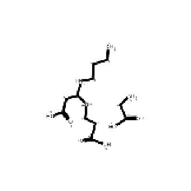 CCCCNC(CC(=O)O)NCCC(=O)O.NCC(=O)O